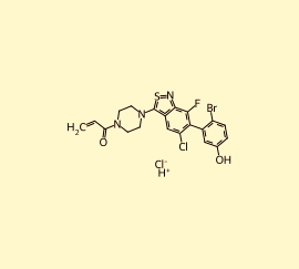 C=CC(=O)N1CCN(c2snc3c(F)c(-c4cc(O)ccc4Br)c(Cl)cc23)CC1.[Cl-].[H+]